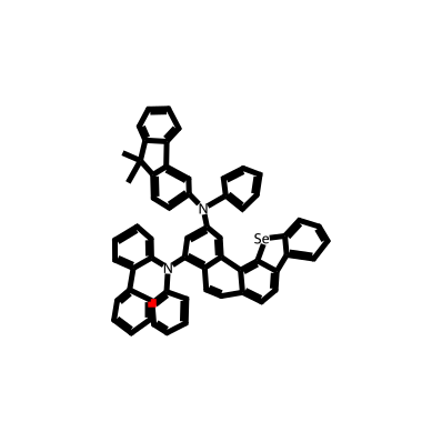 CC1(C)c2ccccc2-c2cc(N(c3ccccc3)c3cc(N(c4ccccc4)c4ccccc4-c4ccccc4)c4ccc5ccc6c7ccccc7[se]c6c5c4c3)ccc21